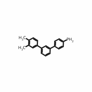 Cc1ccc(-c2cccc(-c3ccc(P)cc3)c2)cc1C